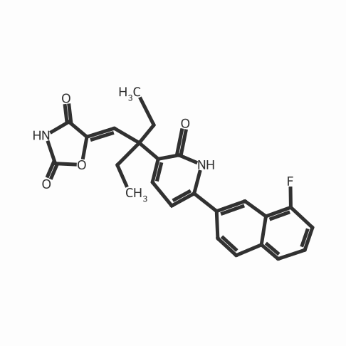 CCC(C=C1OC(=O)NC1=O)(CC)c1ccc(-c2ccc3cccc(F)c3c2)[nH]c1=O